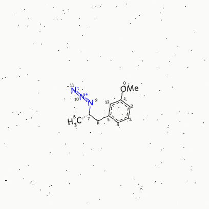 COc1cccc(C[C@H](C)N=[N+]=[N-])c1